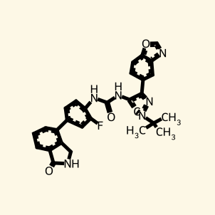 CC(C)(C)n1cc(NC(=O)Nc2ccc(-c3cccc4c3CNC4=O)cc2F)c(-c2ccc3ocnc3c2)n1